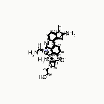 NN/N=C(\N)c1c(-c2cccc3[nH]c(N)nc23)ccc([S+]([O-])C2CN(CCO)C2)c1S(N)(=O)=O